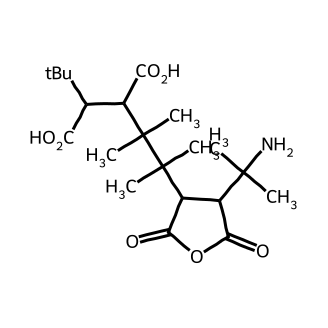 CC(C)(C)C(C(=O)O)C(C(=O)O)C(C)(C)C(C)(C)C1C(=O)OC(=O)C1C(C)(C)N